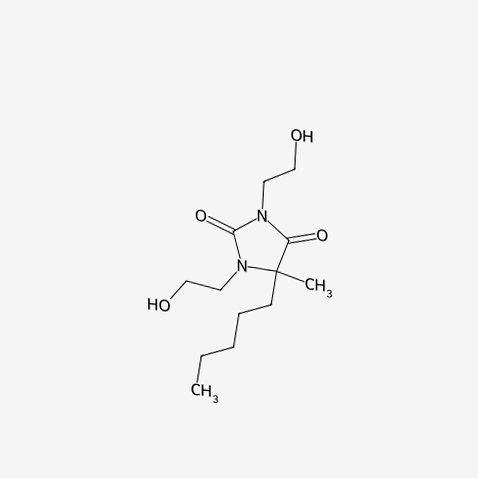 CCCCCC1(C)C(=O)N(CCO)C(=O)N1CCO